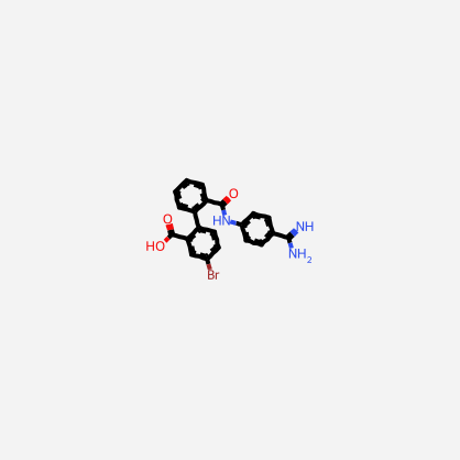 N=C(N)c1ccc(NC(=O)c2ccccc2-c2ccc(Br)cc2C(=O)O)cc1